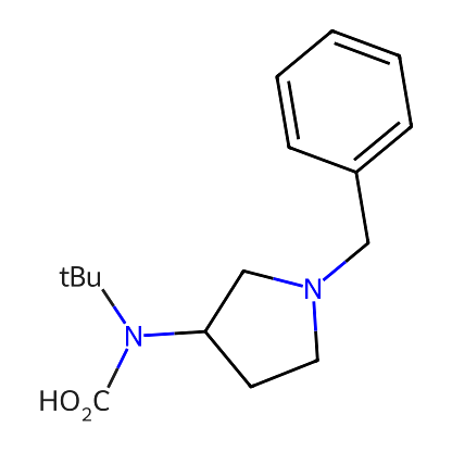 CC(C)(C)N(C(=O)O)C1CCN(Cc2ccccc2)C1